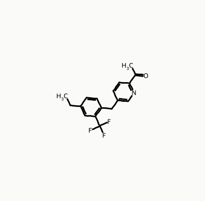 CCc1ccc(Cc2ccc(C(C)=O)nc2)c(C(F)(F)F)c1